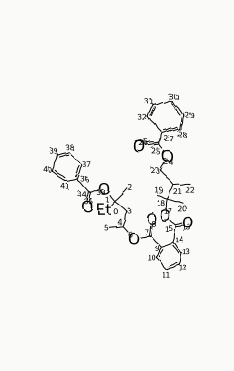 CCC(C)(CC(C)OC(=O)c1ccccc1C(=O)OC(C)(C)C(C)COC(=O)c1ccccc1)OC(=O)c1ccccc1